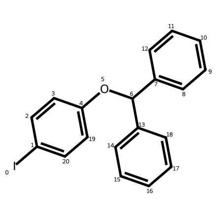 Ic1ccc(OC(c2ccccc2)c2ccccc2)cc1